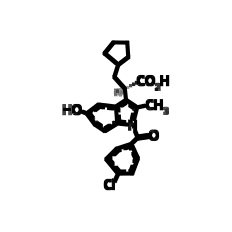 Cc1c([C@H](CC2CCCC2)C(=O)O)c2cc(O)ccc2n1C(=O)c1ccc(Cl)cc1